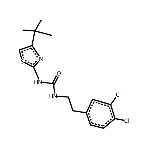 CC(C)(C)c1csc(NC(=O)NCCc2ccc(Cl)c(Cl)c2)n1